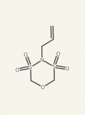 C=CCN1S(=O)(=O)COCS1(=O)=O